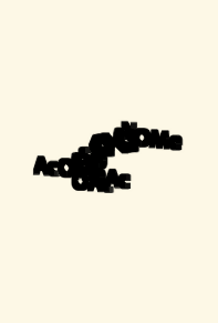 COc1ccc(-c2cccc(O[C@@H]3SC[C@@H](OC(C)=O)[C@H](OC(C)=O)[C@H]3OC(C)=O)c2)cn1